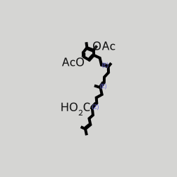 CC(=O)Oc1cc(C)c(OC(C)=O)c(C/C=C(\C)CC/C=C(\C)CC/C=C(/CCC=C(C)C)C(=O)O)c1